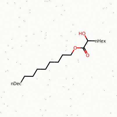 CCCCCCCCCCCCCCCCCCOC(=O)C(O)CCCCCC